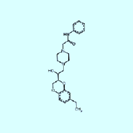 CCc1ccc2c(c1)OC(C(O)CN1CCN(CC(=O)Nc3ccccc3)CC1)CO2